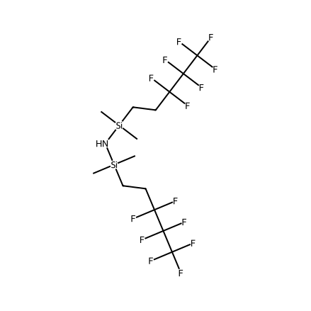 C[Si](C)(CCC(F)(F)C(F)(F)C(F)(F)F)N[Si](C)(C)CCC(F)(F)C(F)(F)C(F)(F)F